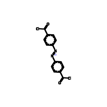 O=C(Cl)c1ccc(/N=N/c2ccc(C(=O)Cl)cc2)cc1